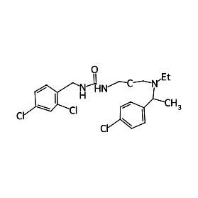 CCN(CCCNC(=O)NCc1ccc(Cl)cc1Cl)C(C)c1ccc(Cl)cc1